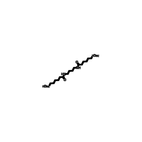 CCCCCCCCCCCCCCCC(=O)NCCCCNC(=O)CCCCCCCCCCCCCCC